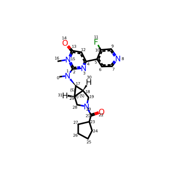 CN(c1nc(-c2ccncc2F)cc(=O)n1C)[C@H]1[C@@H]2CN(C(=O)C3CCCC3)C[C@@H]21